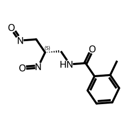 Cc1ccccc1C(=O)NC[C@@H](CN=O)N=O